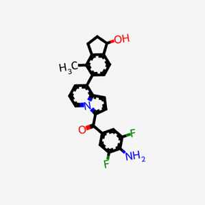 Cc1c(-c2cccn3c(C(=O)c4cc(F)c(N)c(F)c4)ccc23)ccc2c1CCC2O